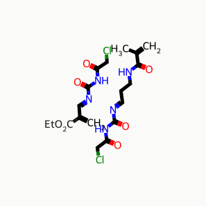 C=C(C)C(=O)NCCC=NC(=O)NC(=O)CCl.C=C(C=NC(=O)NC(=O)CCl)C(=O)OCC